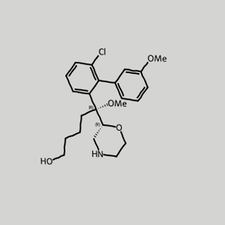 COc1cccc(-c2c(Cl)cccc2[C@@](CCCCO)(OC)[C@H]2CNCCO2)c1